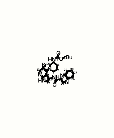 CC(C)(C)OC(=O)NC1CCCN(c2c(Br)cnc3[nH]cc(NC(=O)c4cnc5ccccc5n4)c23)C1